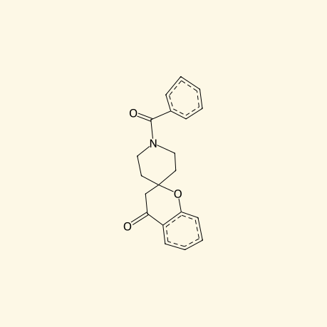 O=C1CC2(CCN(C(=O)c3ccccc3)CC2)Oc2ccccc21